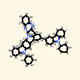 c1ccc(-n2c3ccccc3c3cc(-c4cc5c6cc7c(cc6n6c8nc9ccccc9nc8c(c4)c56)c4ccccc4n7-c4ccccc4)ccc32)cc1